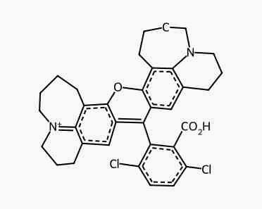 O=C(O)c1c(Cl)ccc(Cl)c1C1=c2cc3c4c(c2Oc2c1cc1c5c2CCCCN5CCC1)CCCC[N+]=4CCC3